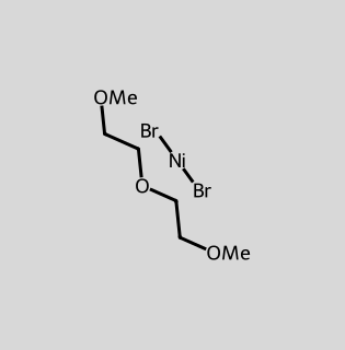 COCCOCCOC.[Br][Ni][Br]